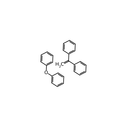 C=C(c1ccccc1)c1ccccc1.c1ccc(Oc2ccccc2)cc1